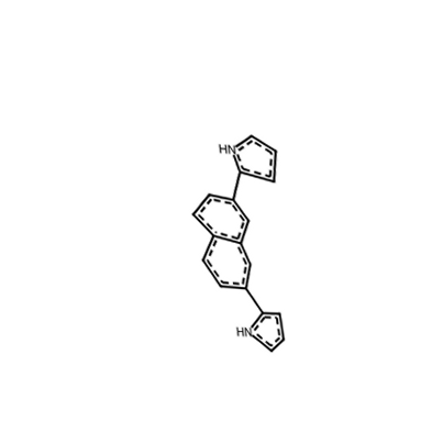 c1c[nH]c(-c2ccc3ccc(-c4ccc[nH]4)cc3c2)c1